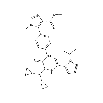 COC(=O)c1ncn(C)c1-c1ccc(NC(=O)C(NC(=O)c2ccnn2C(C)C)C(C2CC2)C2CC2)cc1